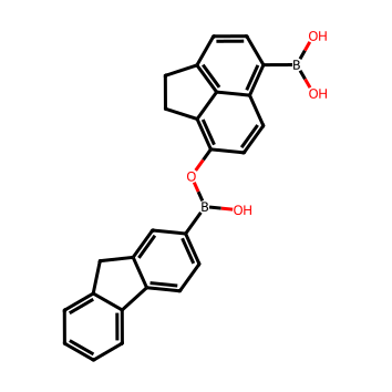 OB(Oc1ccc2c(B(O)O)ccc3c2c1CC3)c1ccc2c(c1)Cc1ccccc1-2